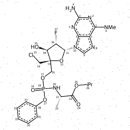 CNc1nc(N)nc2c1ncn2[C@@H]1O[C@](CCl)(COP(=O)(N[C@@H](C)C(=O)OC(C)C)Oc2ccccc2)[C@@H](O)[C@@H]1F